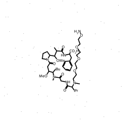 CCC(C)C(C(CC(=O)N1CCCC1C(OC)C(C)C(=O)NC(Cc1ccccc1)C(=O)O)OC)N(C)C(=O)CNC(=O)C(C(C)C)N(C)CCOCCOCCOCCON